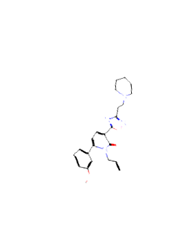 C=CCn1c(-c2cccc(OC)c2)ccc(-c2nc(CCN3CCCCC3)no2)c1=O